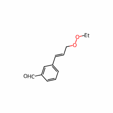 CCOOC/C=C/c1cccc(C=O)c1